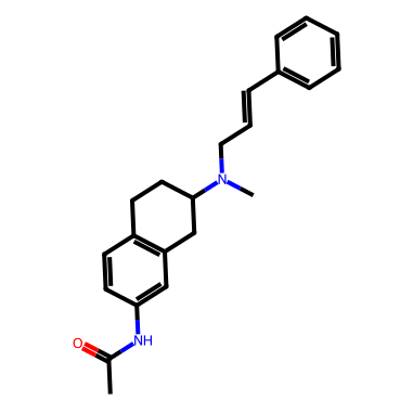 CC(=O)Nc1ccc2c(c1)CC(N(C)CC=Cc1ccccc1)CC2